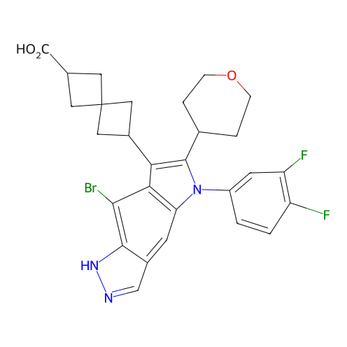 O=C(O)C1CC2(C1)CC(c1c(C3CCOCC3)n(-c3ccc(F)c(F)c3)c3cc4cn[nH]c4c(Br)c13)C2